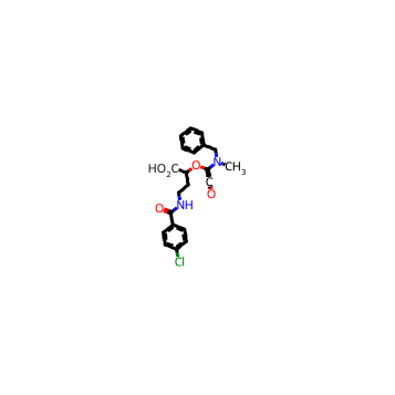 CN(Cc1ccccc1)C(=C=O)OC(CCNC(=O)c1ccc(Cl)cc1)C(=O)O